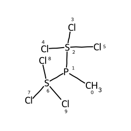 CP(S(Cl)(Cl)Cl)S(Cl)(Cl)Cl